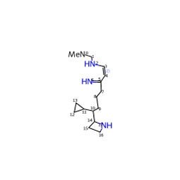 CNCN/C=C\C(=N)CCCC(C1CC1)C1CCN1